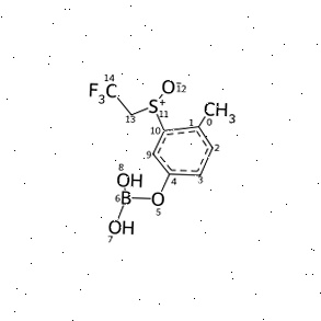 Cc1ccc(OB(O)O)cc1[S+]([O-])CC(F)(F)F